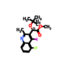 COC(=O)[C@@H](OC(C)(C)C)c1c(C)nc2cccc(F)c2c1I